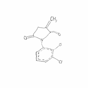 C=C1CC(=O)N(c2cccc(Cl)c2Cl)C1=O